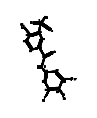 CS(=O)(=O)c1cc(C(=O)Nc2cc(F)c(F)c(F)c2)ccc1Cl